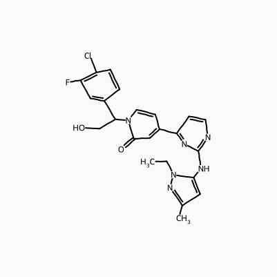 CCn1nc(C)cc1Nc1nccc(-c2ccn(C(CO)c3ccc(Cl)c(F)c3)c(=O)c2)n1